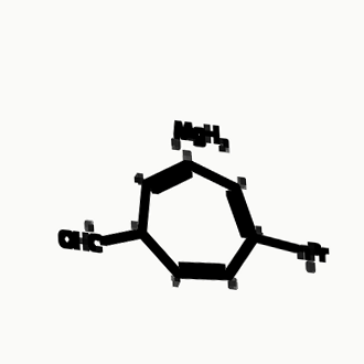 CCCC1=CC=CC(C=O)C=C1.[MgH2]